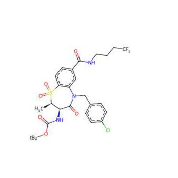 C[C@@H]1[C@H](NC(=O)OC(C)(C)C)C(=O)N(Cc2ccc(Cl)cc2)c2cc(C(=O)NCCCC(F)(F)F)ccc2S1(=O)=O